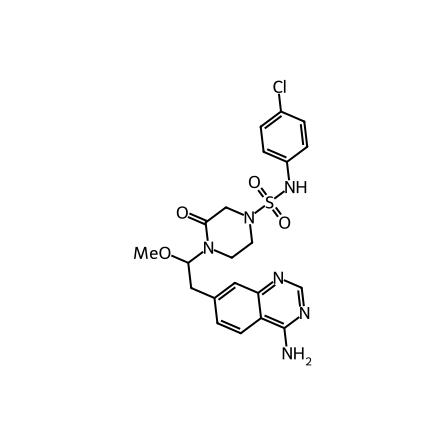 COC(Cc1ccc2c(N)ncnc2c1)N1CCN(S(=O)(=O)Nc2ccc(Cl)cc2)CC1=O